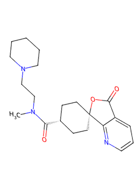 CN(CCN1CCCCC1)C(=O)[C@H]1CC[C@]2(CC1)OC(=O)c1cccnc12